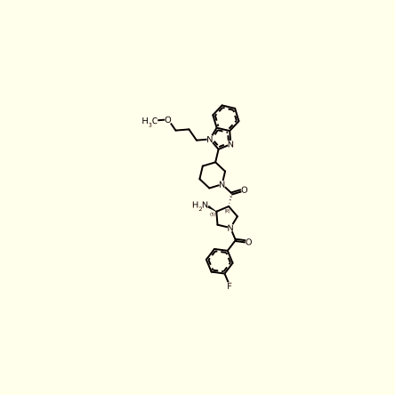 COCCCn1c(C2CCCN(C(=O)[C@@H]3CN(C(=O)c4cccc(F)c4)C[C@H]3N)C2)nc2ccccc21